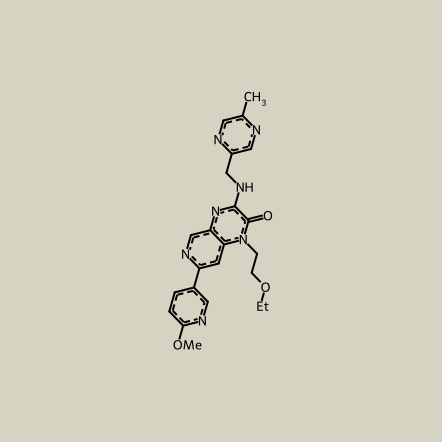 CCOCCn1c(=O)c(NCc2cnc(C)cn2)nc2cnc(-c3ccc(OC)nc3)cc21